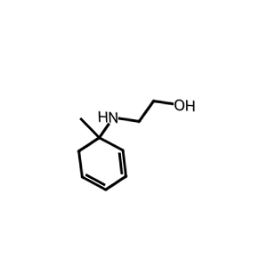 CC1(NCCO)C=CC=CC1